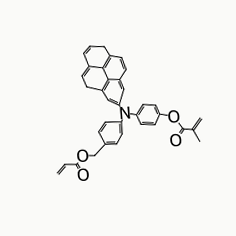 C=CC(=O)OCc1ccc(N(c2ccc(OC(=O)C(=C)C)cc2)c2cc3c4c5c(ccc4c2)CC=CC5=CC3)cc1